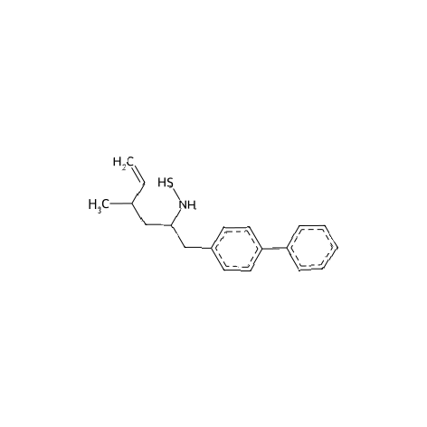 C=CC(C)CC(Cc1ccc(-c2ccccc2)cc1)NS